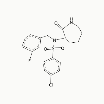 O=C1NCCCCC1N(Cc1cccc(F)c1)S(=O)(=O)c1ccc(Cl)cc1